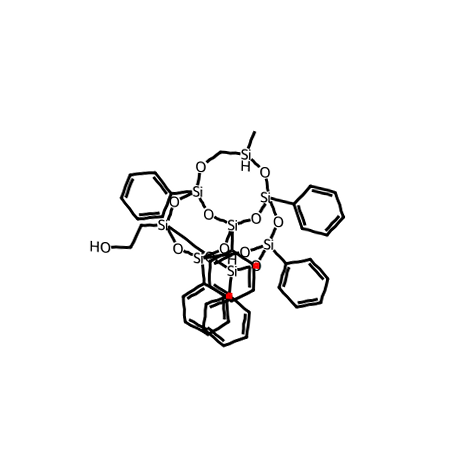 C[SiH]1CO[Si]2(c3ccccc3)O[Si]3(CCO)O[SiH](c4ccccc4)O[Si]4(c5ccccc5)O[Si](c5ccccc5)(O1)O[Si](c1ccccc1)(O2)O[Si](c1ccccc1)(O3)O4